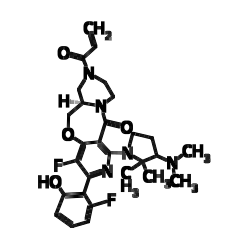 C=CC(=O)N1CCN2C(=O)c3c(N4CCC(N(C)C)C4(C)C)nc(-c4c(O)cccc4F)c(F)c3OC[C@H]2C1